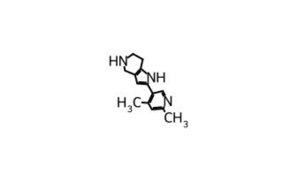 Cc1cc(C)c(-c2cc3c([nH]2)CCNC3)cn1